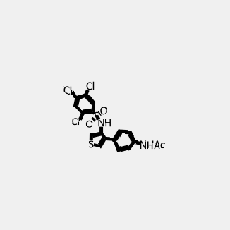 CC(=O)Nc1ccc(-c2cscc2NS(=O)(=O)c2cc(Cl)c(Cl)cc2Cl)cc1